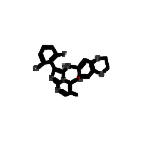 Cc1cnc2nc(-c3c(F)cccc3Cl)c(Nc3ccc4c(c3)OCCO4)n2c1Cl